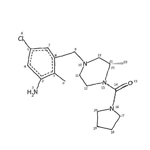 Cc1c(N)cc(Cl)cc1CN1CCN(C(=O)N2CCCC2)[C@@H](C)C1